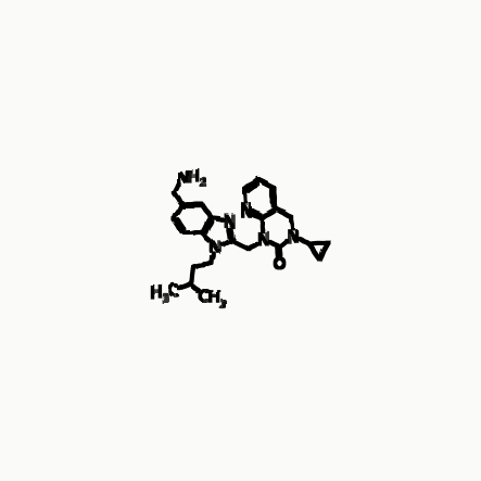 CC(C)CCn1c(CN2C(=O)N(C3CC3)Cc3cccnc32)nc2cc(CN)ccc21